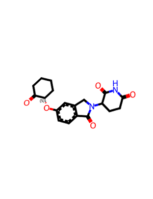 O=C1CCC(N2Cc3cc(O[C@H]4CCCCC4=O)ccc3C2=O)C(=O)N1